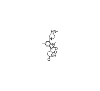 CNC1CCN(c2cc(C)cc3c2n(C)c(=O)n3C2CCC(=O)NC2=O)CC1